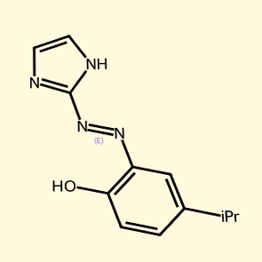 CC(C)c1ccc(O)c(/N=N/c2ncc[nH]2)c1